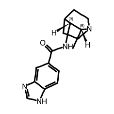 C[C@@H]1[C@H](NC(=O)c2ccc3[nH]cnc3c2)C2CCN1CC2